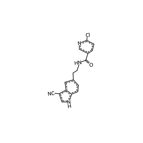 N#Cc1c[nH]c2ccc(CCNC(=O)c3ccc(Cl)nc3)cc12